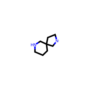 C1CNCC2(C1)CC[N]C2